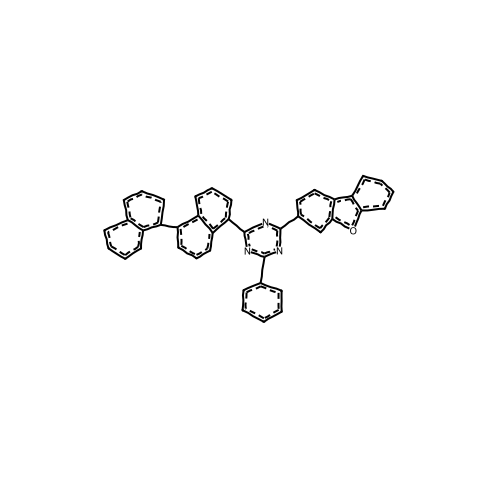 c1ccc(-c2nc(-c3ccc4c(c3)oc3ccccc34)nc(-c3cccc4c(-c5cccc6ccccc56)cccc34)n2)cc1